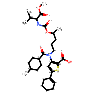 COC(=O)C(NC(=O)OC(C)CCCN(C(=O)C1CCC(C)CC1)c1cc(C2=CCCCC2)sc1C(=O)O)C(C)C